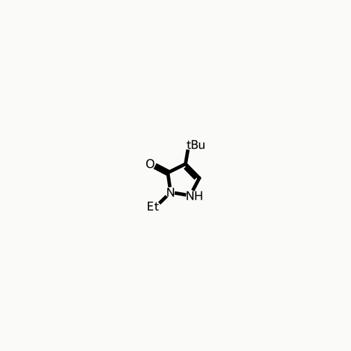 CCn1[nH]cc(C(C)(C)C)c1=O